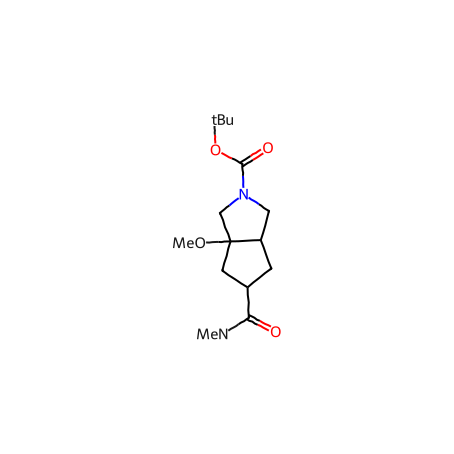 CNC(=O)C1CC2CN(C(=O)OC(C)(C)C)CC2(OC)C1